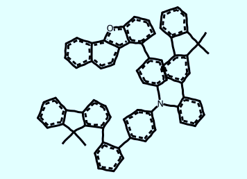 CC1(C)c2ccccc2-c2ccc(-c3ccccc3N(c3ccc(-c4ccccc4-c4cccc5c4C(C)(C)c4ccccc4-5)cc3)c3ccc(-c4cccc5oc6c7ccccc7ccc6c45)cc3)cc21